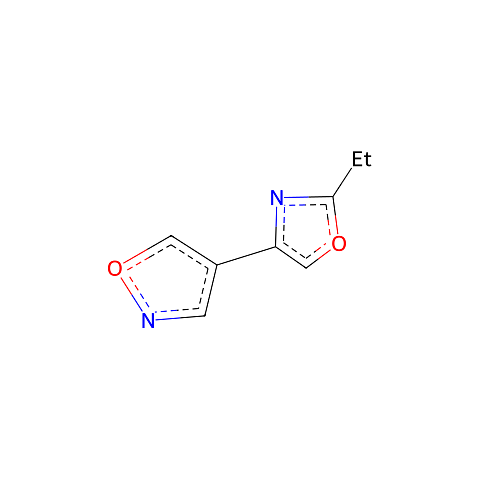 CCc1nc(-c2cnoc2)co1